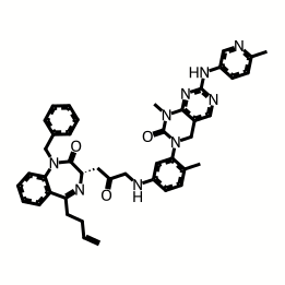 C=CCCC1=N[C@@H](CC(=O)CNc2ccc(C)c(N3Cc4cnc(Nc5ccc(C)nc5)nc4N(C)C3=O)c2)C(=O)N(Cc2ccccc2)c2ccccc21